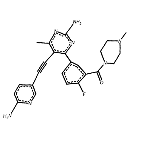 Cc1nc(N)nc(-c2ccc(F)c(C(=O)N3CCN(C)CC3)c2)c1C#Cc1ccc(N)nc1